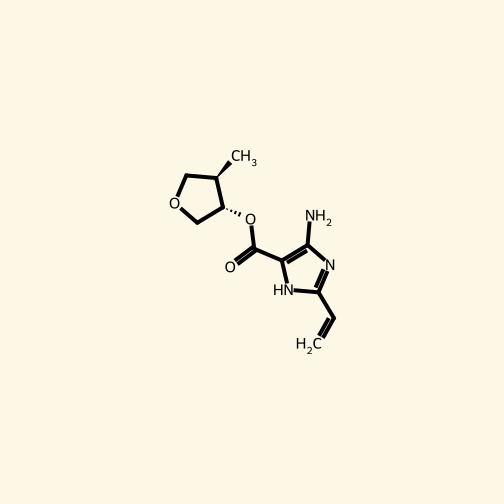 C=Cc1nc(N)c(C(=O)O[C@@H]2COC[C@H]2C)[nH]1